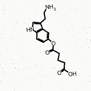 NCCc1c[nH]c2ccc(OC(=O)CCCC(=O)O)cc12